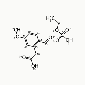 CCOS(=O)(=O)O.COc1ccc(C=O)c(CC(=O)O)c1